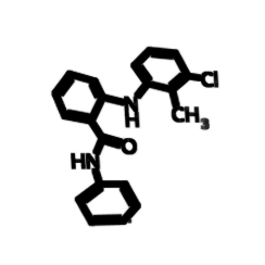 Cc1c(Cl)cccc1Nc1ccccc1C(=O)Nc1cc[c]cc1